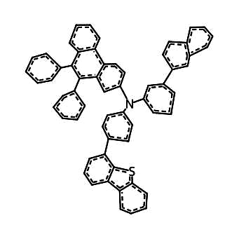 c1ccc(-c2c(-c3ccccc3)c3cc(N(c4ccc(-c5cccc6c5sc5ccccc56)cc4)c4cccc(-c5ccc6ccccc6c5)c4)ccc3c3ccccc23)cc1